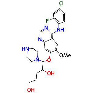 COc1cc2c(Nc3ccc(Cl)cc3F)ncnc2cc1OC(C(O)CCCO)N1CCNCC1